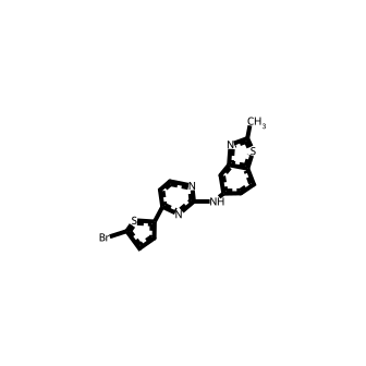 Cc1nc2cc(Nc3nccc(-c4ccc(Br)s4)n3)ccc2s1